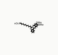 CCCCCCCCC=CCCCCCCCC(=O)N1Cc2cc(OC)c(OC)cc2CC1c1ccccc1